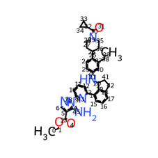 CCOC(=O)c1cnn(-c2cccc(-c3cccc4c3C(Nc3ccc(C5CCN(C(=O)C6CC6)CC5)c(CC)c3)CC4)n2)c1N